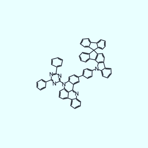 c1ccc(-c2nc(-c3ccccc3)nc(N3c4ccc(-c5ccc(-n6c7ccccc7c7ccc8c(c76)-c6ccccc6C86c7ccccc7-c7ccccc76)cc5)cc4-c4nc5ccccc5c5cccc3c45)n2)cc1